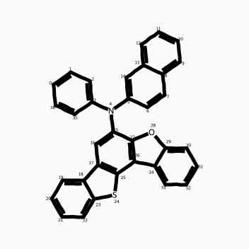 c1ccc(N(c2ccc3ccccc3c2)c2cc3c4ccccc4sc3c3c2oc2ccccc23)cc1